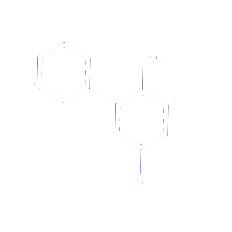 COc1c(F)cc(N)cc1-c1cccnc1